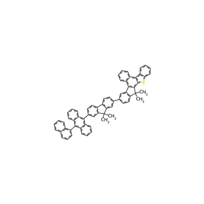 CC1(C)c2cc(-c3ccc4c(c3)-c3c(c5sc6ccccc6c5c5ccccc35)C4(C)C)ccc2-c2ccc(-c3c4ccccc4c(-c4cccc5ccccc45)c4ccccc34)cc21